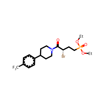 CCOP(=O)(CC[C@H](Br)C(=O)N1CCC(c2ccc(C(F)(F)F)cc2)CC1)OCC